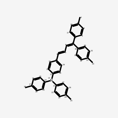 Cc1ccc(C(=CC=Cc2ccc(N(c3ccc(C)cc3)c3ccc(C)cc3)cc2)c2ccc(C)cc2)cc1